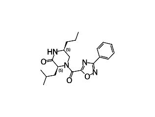 CCC[C@H]1CN(C(=O)c2nc(-c3ccccc3)no2)[C@@H](CC(C)C)C(=O)N1